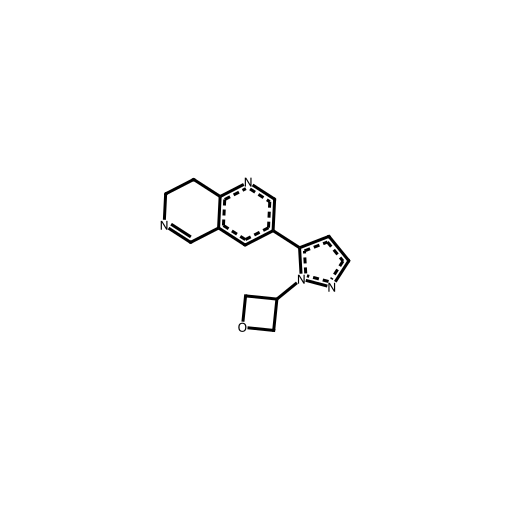 C1=NCCc2ncc(-c3ccnn3C3COC3)cc21